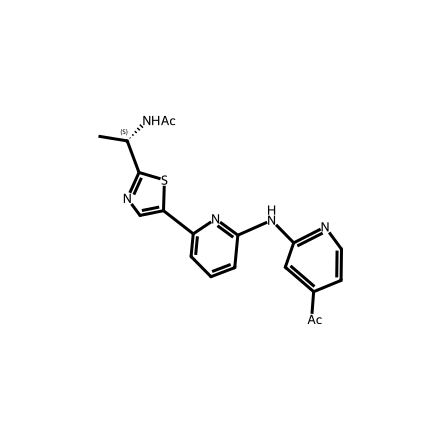 CC(=O)N[C@@H](C)c1ncc(-c2cccc(Nc3cc(C(C)=O)ccn3)n2)s1